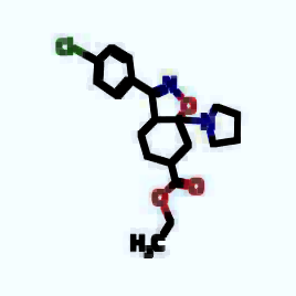 CCOC(=O)C1CCC2C(c3ccc(Cl)cc3)=NOC2(N2CCCC2)C1